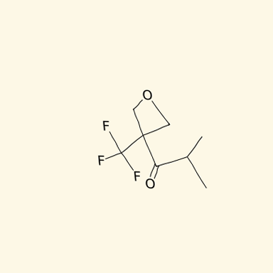 CC(C)C(=O)C1(C(F)(F)F)COC1